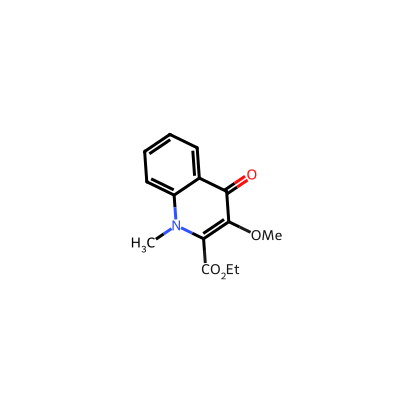 CCOC(=O)c1c(OC)c(=O)c2ccccc2n1C